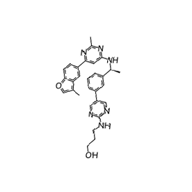 Cc1nc(N[C@@H](C)c2cccc(-c3cnc(NCCCO)nc3)c2)cc(-c2ccc3occ(C)c3c2)n1